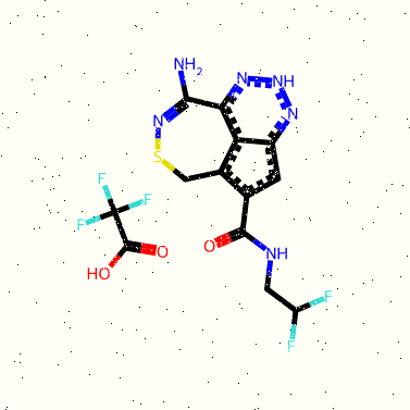 NC1=NSCc2c(C(=O)NCC(F)F)cc3n[nH]nc1c2-3.O=C(O)C(F)(F)F